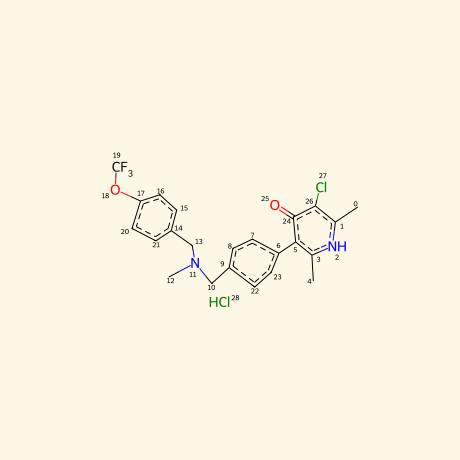 Cc1[nH]c(C)c(-c2ccc(CN(C)Cc3ccc(OC(F)(F)F)cc3)cc2)c(=O)c1Cl.Cl